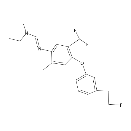 CCN(C)C=Nc1cc(C(F)F)c(Oc2cccc(CCF)c2)cc1C